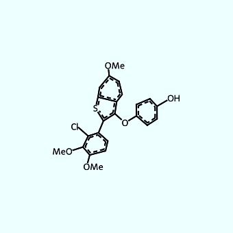 COc1ccc2c(Oc3ccc(O)cc3)c(-c3ccc(OC)c(OC)c3Cl)sc2c1